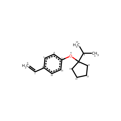 C=Cc1ccc(OC2(C(C)C)CCCC2)cc1